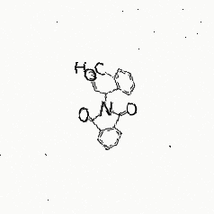 Cc1ccccc1C(C=O)N1C(=O)c2ccccc2C1=O